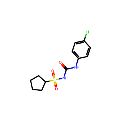 O=C(Nc1ccc(Cl)cc1)NS(=O)(=O)C1CCCC1